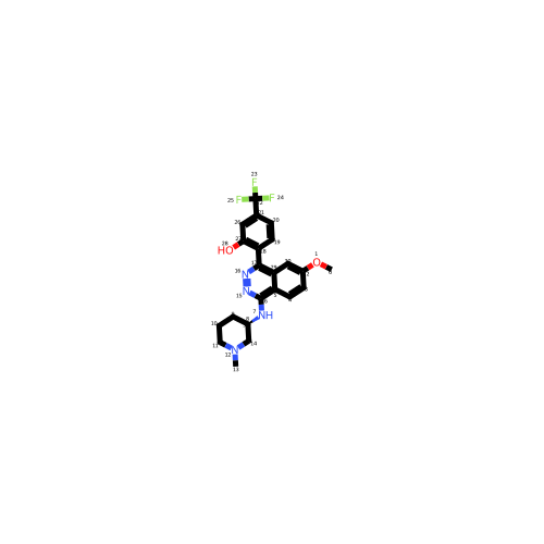 COc1ccc2c(N[C@@H]3CCCN(C)C3)nnc(-c3ccc(C(F)(F)F)cc3O)c2c1